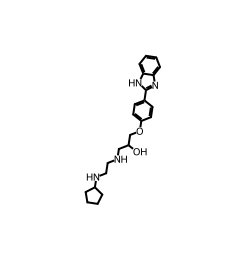 OC(CNCCNC1CCCC1)COc1ccc(-c2nc3ccccc3[nH]2)cc1